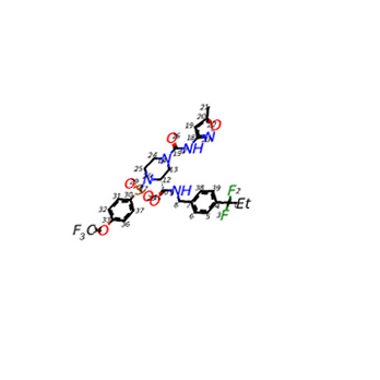 CCC(F)(F)c1ccc(CNC(=O)[C@H]2CN(C(=O)Nc3cc(C)on3)CCN2S(=O)(=O)c2ccc(OC(F)(F)F)cc2)cc1